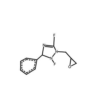 FC1=NC(c2ccccc2)N(F)N1CC1CO1